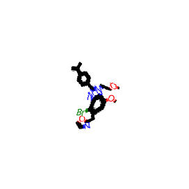 COCCn1c(-c2ccc(C(C)C)cc2)nc2c(Br)c(Cc3ncco3)cc(OC)c21